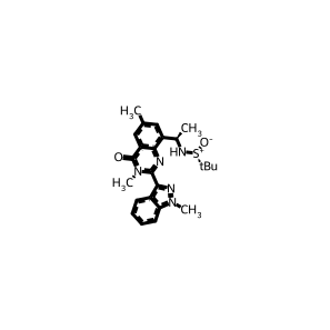 Cc1cc([C@@H](C)N[S@+]([O-])C(C)(C)C)c2nc(-c3nn(C)c4ccccc34)n(C)c(=O)c2c1